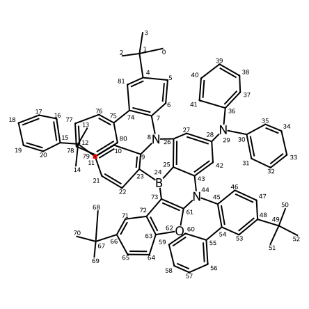 CC(C)(C)c1ccc(N2c3cc(C(C)(C)c4ccccc4)ccc3B3c4c2cc(N(c2ccccc2)c2ccccc2)cc4N(c2ccc(C(C)(C)C)cc2-c2ccccc2)c2oc4ccc(C(C)(C)C)cc4c23)c(-c2ccccc2)c1